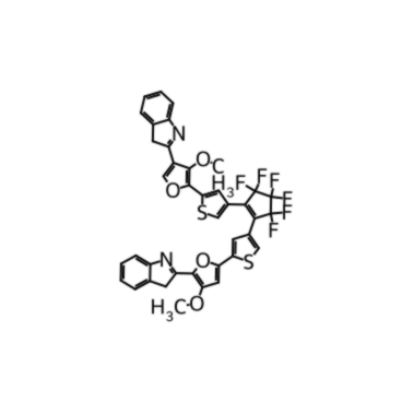 COc1cc(-c2cc(C3=C(c4csc(-c5occ(C6=Nc7ccccc7C6)c5OC)c4)C(F)(F)C(F)(F)C3(F)F)cs2)oc1C1=Nc2ccccc2C1